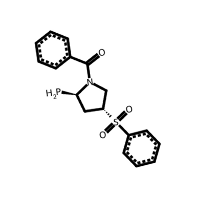 O=C(c1ccccc1)N1C[C@H](S(=O)(=O)c2ccccc2)C[C@H]1P